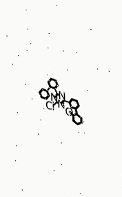 Clc1nc(-c2ccccc2-c2ccccc2)nc(-c2cccc3c2oc2ccccc23)n1